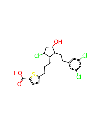 O=C(O)c1ccc(CCC[C@H]2C(Cl)C[C@@H](O)C2CCc2cc(Cl)cc(Cl)c2)s1